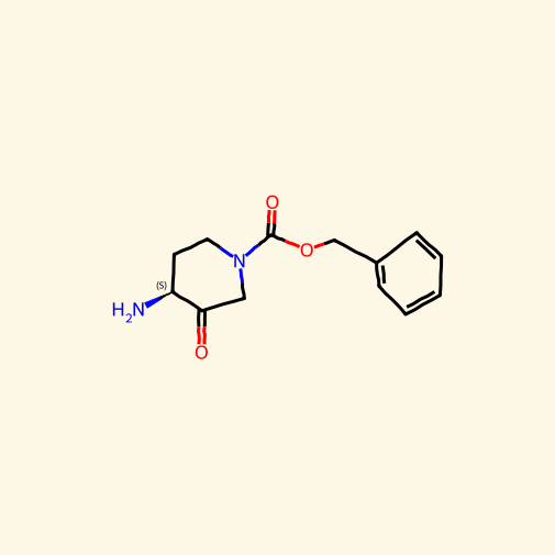 N[C@H]1CCN(C(=O)OCc2ccccc2)CC1=O